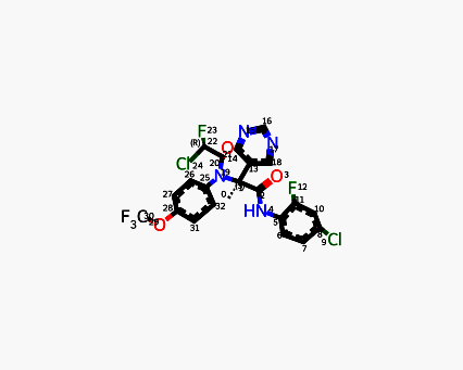 C[C@@](C(=O)Nc1ccc(Cl)cc1F)(c1cncnc1)N(C(=O)[C@H](F)Cl)c1ccc(OC(F)(F)F)cc1